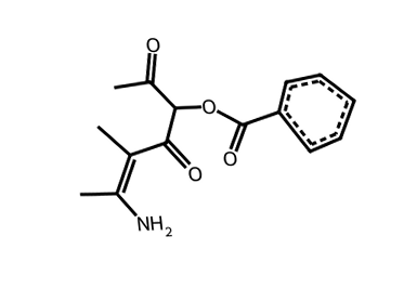 CC(=O)C(OC(=O)c1ccccc1)C(=O)C(C)=C(C)N